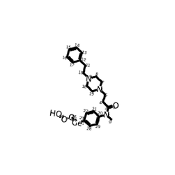 CN(C(=O)CCN1CCN(CCc2ccccc2)CC1)c1cc[c]([Ge][O]OO)cc1